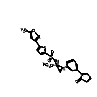 O=C1CCCN1c1cccc([C@@H]2C[C@]2(NS(=O)(=O)c2ccc(-c3cc(C(F)(F)F)on3)s2)C(=O)O)c1